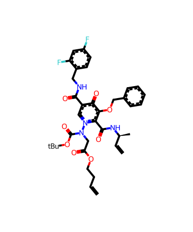 C=CCCOC(=O)CN(C(=O)OC(C)(C)C)n1cc(C(=O)NCc2ccc(F)cc2F)c(=O)c(OCc2ccccc2)c1C(=O)N[C@@H](C)C=C